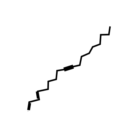 [CH]=CC=CCCCCC#CCCCCCCCC